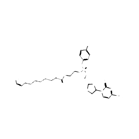 CCCCCCCC/C=C\CCCCCCCC(=O)NCCNP(=O)(OC[C@@H]1OC(n2ccc(N)nc2=O)CS1)Oc1ccc(Cl)cc1